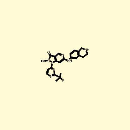 CC(C)n1c(=O)c2cnc(Nc3ccc4c(c3)CCNC4)cc2n1-c1ccnc(C(C)(C)F)n1